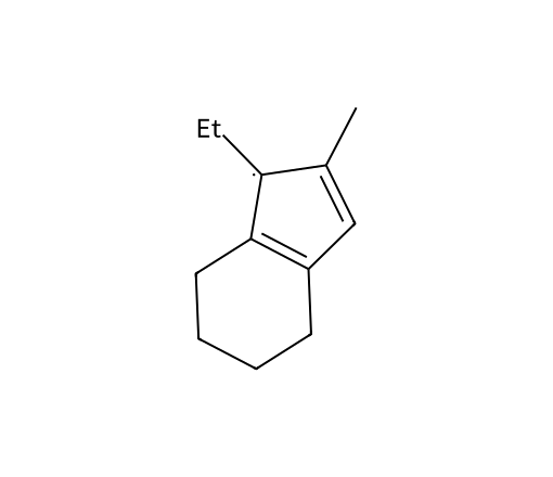 CC[C]1C(C)=CC2=C1CCCC2